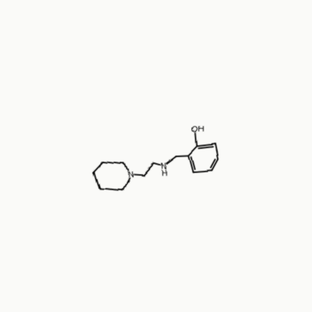 Oc1ccccc1CNCCN1CCCCC1